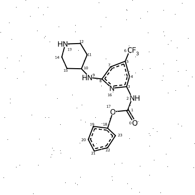 O=C(Nc1cc(C(F)(F)F)cc(NC2CCNCC2)n1)Oc1ccccc1